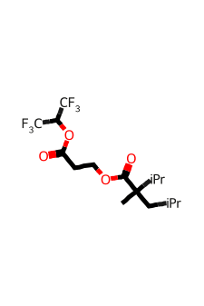 CC(C)CC(C)(C(=O)OCCC(=O)OC(C(F)(F)F)C(F)(F)F)C(C)C